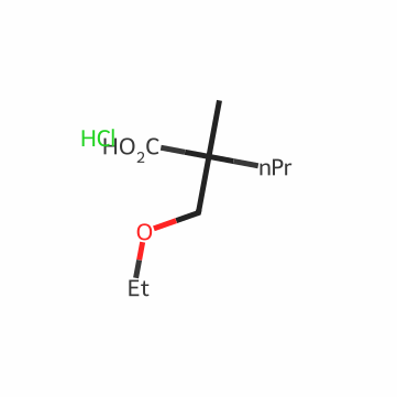 CCCC(C)(COCC)C(=O)O.Cl